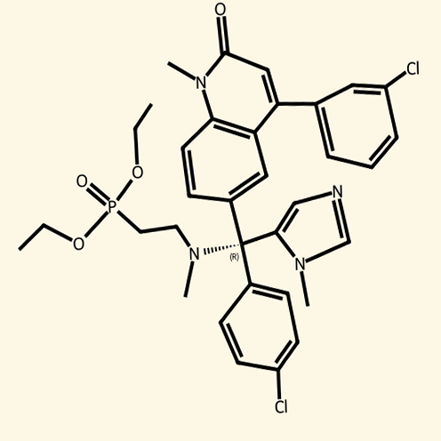 CCOP(=O)(CCN(C)[C@](c1ccc(Cl)cc1)(c1ccc2c(c1)c(-c1cccc(Cl)c1)cc(=O)n2C)c1cncn1C)OCC